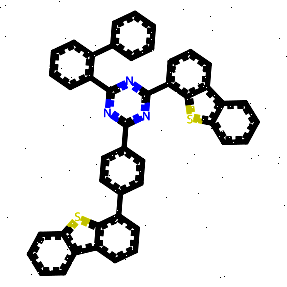 c1ccc(-c2ccccc2-c2nc(-c3ccc(-c4cccc5c4sc4ccccc45)cc3)nc(-c3cccc4c3sc3ccccc34)n2)cc1